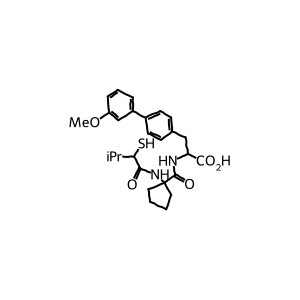 COc1cccc(-c2ccc(CC(NC(=O)C3(NC(=O)C(S)C(C)C)CCCC3)C(=O)O)cc2)c1